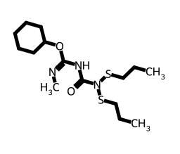 CCCSN(SCCC)C(=O)NC(=NC)OC1CCCCC1